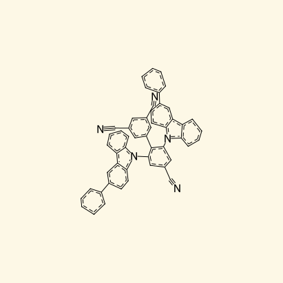 N#Cc1cc(C#N)cc(-c2c(-n3c4ccccc4c4cc(-c5ccccc5)ccc43)cc(C#N)cc2-n2c3ccccc3c3cc(-c4ccccc4)ccc32)c1